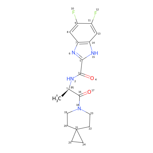 C[C@@H](NC(=O)c1nc2cc(F)c(F)cc2[nH]1)C(=O)N1CCC2(CC1)CC2